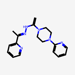 C=C(N/N=C(\C)c1ccccn1)N1CCN(c2ccccn2)CC1